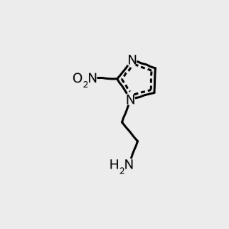 NCCn1ccnc1[N+](=O)[O-]